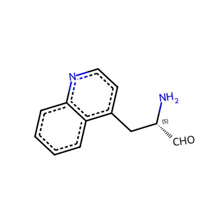 N[C@H](C=O)Cc1ccnc2ccccc12